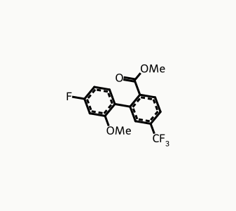 COC(=O)c1ccc(C(F)(F)F)cc1-c1ccc(F)cc1OC